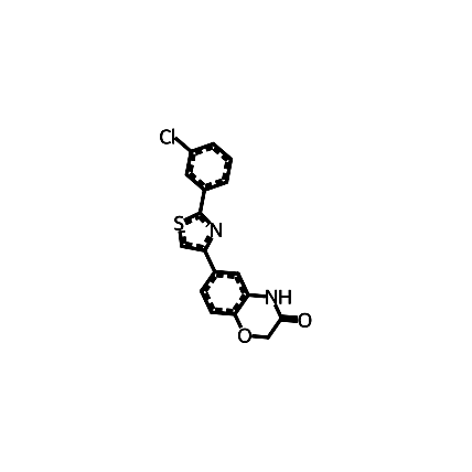 O=C1COc2ccc(-c3csc(-c4cccc(Cl)c4)n3)cc2N1